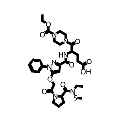 CCOC(=O)N1CCN(C(=O)C(CCC(=O)O)NC(=O)c2cc(OCC(=O)N3CCCC3C(=O)N(CC)SC)n(-c3ccccc3)n2)CC1